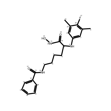 Cc1cc(NC(CCCCNC(=O)c2ccccc2)C(=O)NO)cc(C)c1F